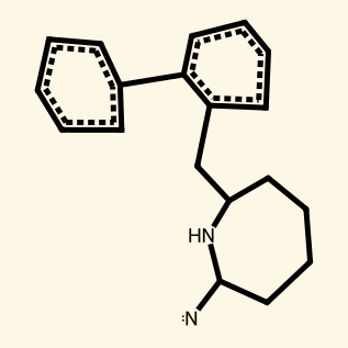 [N]C1CCCCC(Cc2ccccc2-c2ccccc2)N1